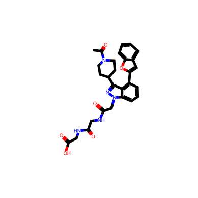 CC(=O)N1CCC(c2nn(CC(=O)NCC(=O)NCC(=O)O)c3cccc(-c4cc5ccccc5o4)c23)CC1